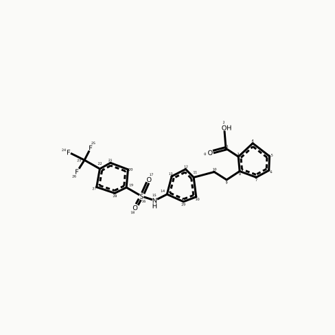 O=C(O)c1ccccc1CCc1ccc(NS(=O)(=O)c2ccc(C(F)(F)F)cc2)cc1